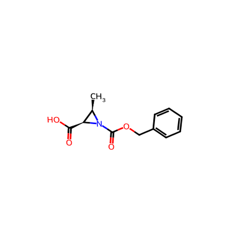 C[C@@H]1[C@H](C(=O)O)N1C(=O)OCc1ccccc1